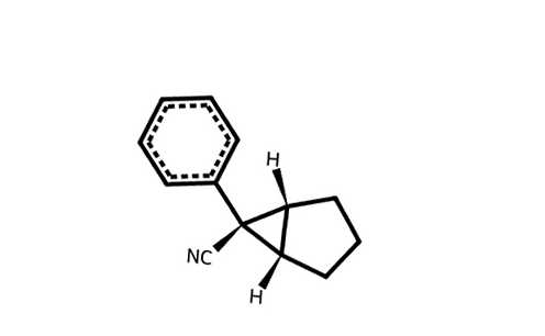 N#C[C@@]1(c2ccccc2)[C@@H]2CCC[C@@H]21